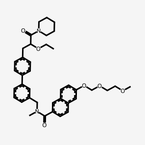 CCOC(Cc1ccc(-c2cccc(CN(C)C(=O)c3ccc4cc(OCOCCOC)ccc4c3)c2)cc1)C(=O)N1CCCCC1